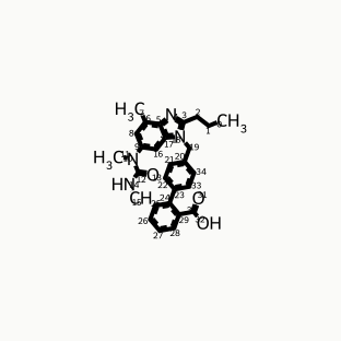 CCCc1nc2c(C)cc(N(C)C(=O)NC)cc2n1Cc1ccc(-c2ccccc2C(=O)O)cc1